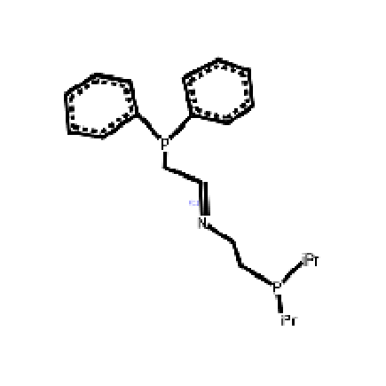 CC(C)P(CC/N=C/CP(c1ccccc1)c1ccccc1)C(C)C